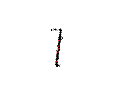 CCCCCC/C=C\CCCCCCCC(=O)OCCCCCCCCCCCCCCCCCCCCCCCCCCCCC(C)C